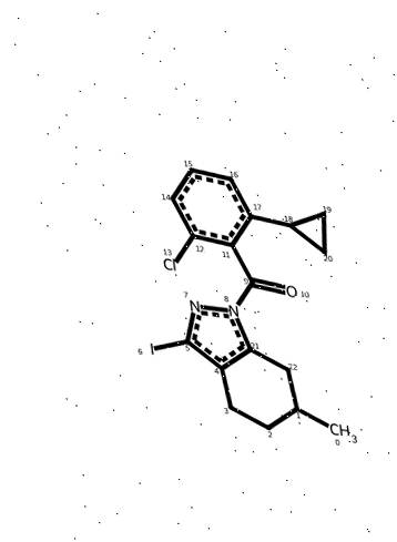 CC1CCc2c(I)nn(C(=O)c3c(Cl)cccc3C3CC3)c2C1